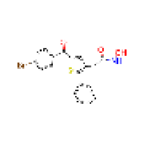 O=C(Cc1cc(C(=O)c2ccc(Br)cc2)sc1-c1ccccc1)NO